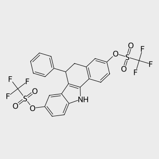 O=S(=O)(Oc1ccc2c(c1)CC(c1ccccc1)c1c-2[nH]c2ccc(OS(=O)(=O)C(F)(F)F)cc12)C(F)(F)F